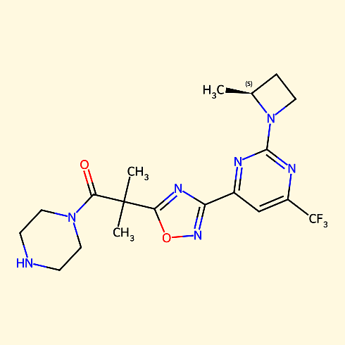 C[C@H]1CCN1c1nc(-c2noc(C(C)(C)C(=O)N3CCNCC3)n2)cc(C(F)(F)F)n1